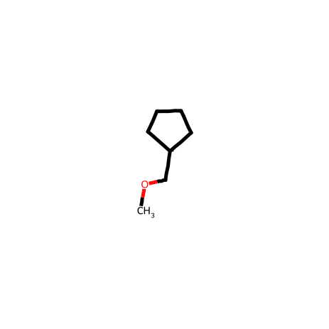 COC[C]1CCCC1